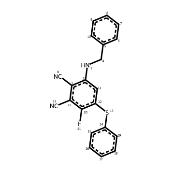 N#Cc1c(NCc2ccccc2)cc(Sc2ccccc2)c(F)c1C#N